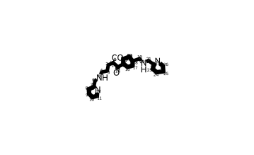 O=C(O)[C@@H](CCCNCc1ccccn1)C(=O)c1ccc(CNCc2ccccn2)cc1